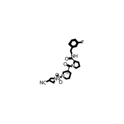 N#CC1CN(S(=O)(=O)N2CCC[C@H](C(=O)N3CCC[C@@H]3C(=O)NCc3cccc(F)c3)C2)C1